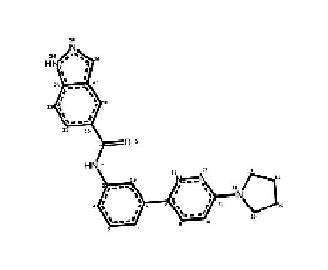 O=C(Nc1cccc(-c2ccc(N3CCCC3)nn2)c1)c1ccc2[nH]ncc2c1